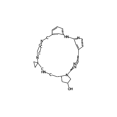 OC1CC2CCNCC3(CC3)N3CCN(CC3)Cc3cccc(c3)Nc3cc(ccn3)-c3cnc(nc3)N2C1